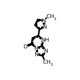 Cc1nc2[nH]c(-c3ccn(C)n3)cc(=O)n2n1